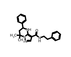 CC1(C)CC(c2ccccc2)Nc2c(C(=O)NCCc3ccccc3)cnn21